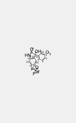 COc1cccc(C2(O)C(=O)Nc3ccc(OC(F)(F)F)cc32)c1